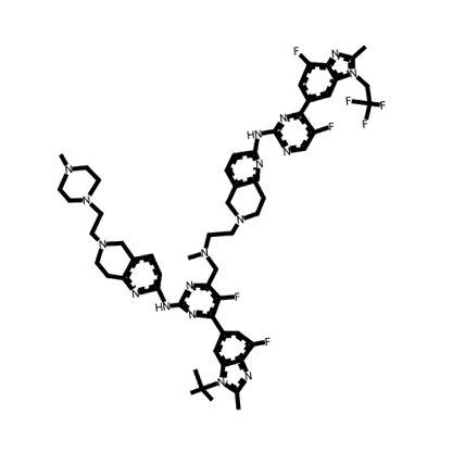 Cc1nc2c(F)cc(-c3nc(Nc4ccc5c(n4)CCN(CCN(C)Cc4nc(Nc6ccc7c(n6)CCN(CCN6CCN(C)CC6)C7)nc(-c6cc(F)c7nc(C)n(C(C)(C)C)c7c6)c4F)C5)ncc3F)cc2n1CC(F)(F)F